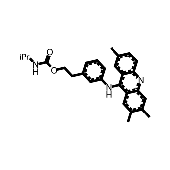 Cc1ccc2nc3cc(C)c(C)cc3c(Nc3cccc(CCOC(=O)NC(C)C)c3)c2c1